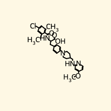 CCc1cc(Cl)cc(C)c1C(=O)NC(Cc1ccc(N2CCC(CNc3cc(OC)ccn3)CC2)cc1)C(=O)O